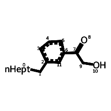 CCCCCCCCc1cccc(C(=O)CO)c1